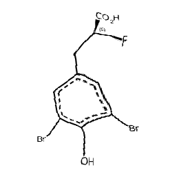 O=C(O)[C@@H](F)Cc1cc(Br)c(O)c(Br)c1